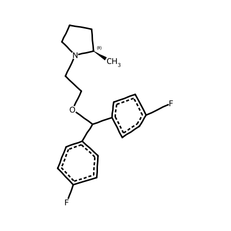 C[C@@H]1CCCN1CCOC(c1ccc(F)cc1)c1ccc(F)cc1